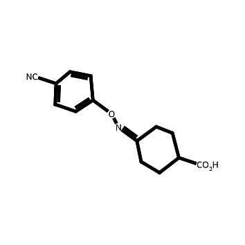 N#Cc1ccc(ON=C2CCC(C(=O)O)CC2)cc1